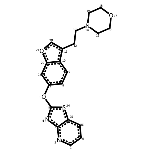 c1cnc2nc(Oc3ccc4c(CCN5CCOCC5)coc4c3)sc2c1